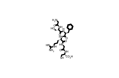 N=C(N)NCCC[C@H](NC(=O)[C@H](Cc1ccccc1)NC(=O)[C@H](CO)NC(=O)CN)C(=O)NCC(=O)N[C@@H](CS)C(=O)O